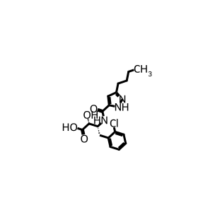 CCCCc1cc(C(=O)N[C@H](Cc2ccccc2Cl)[C@@H](O)C(=O)O)[nH]n1